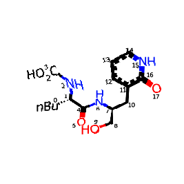 CCCC[C@H](NC(=O)O)C(=O)N[C@H](CO)Cc1ccc[nH]c1=O